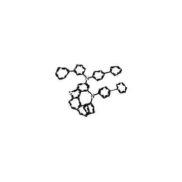 c1ccc(-c2ccc(N(c3cccc(-c4ccccc4)c3)c3cc(N(c4ccccc4)c4ccc(-c5ccccc5)cc4)c4c(c3)sc3ccc5ccccc5c34)cc2)cc1